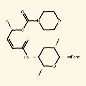 CCCCC[C@@H]1O[C@H](C)[C@H](NC(=O)/C=C\[C@H](C)OC(=O)N2CCOCC2)C[C@@H]1C